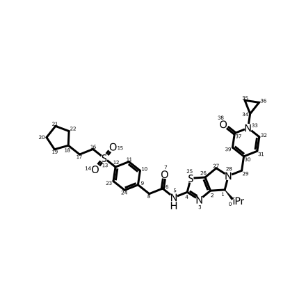 CC(C)[C@H]1c2nc(NC(=O)Cc3ccc(S(=O)(=O)CCC4CCCC4)cc3)sc2CN1Cc1ccn(C2CC2)c(=O)c1